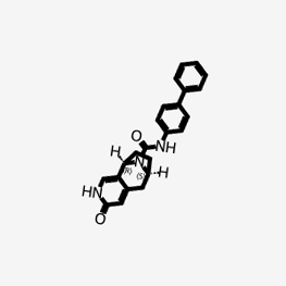 O=C(Nc1ccc(-c2ccccc2)cc1)N1[C@H]2CC[C@@H]1c1c[nH]c(=O)cc1C2